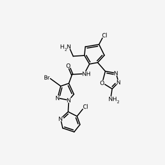 NCc1cc(Cl)cc(-c2nnc(N)o2)c1NC(=O)c1cn(-c2ncccc2Cl)nc1Br